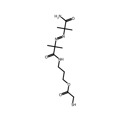 CC(C)(N=NC(C)(C)C(=O)NCCCOC(=O)CS)C(N)=O